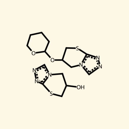 OC1CSc2nncn2C1.c1nnc2n1CC(OC1CCCCO1)CS2